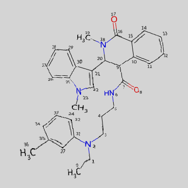 CCN(CCCNC(=O)C1c2ccccc2C(=O)N(C)C1c1cn(C)c2ccccc12)c1cccc(C)c1